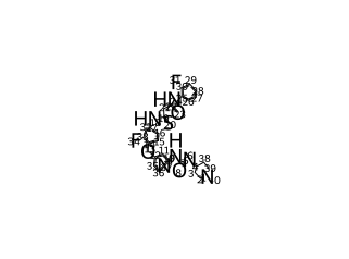 CN1CCC(N(C)C(=O)Nc2cc(Oc3ccc(NC(=S)CC(=O)Nc4ccccc4F)cc3F)ccn2)CC1